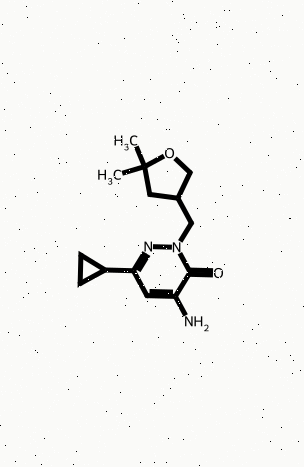 CC1(C)CC(Cn2nc(C3CC3)cc(N)c2=O)CO1